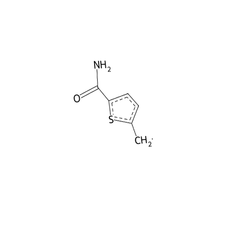 [CH2]c1ccc(C(N)=O)s1